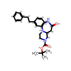 CC(C)(C)OC(=O)N1CCN2c3cc(CCc4ccccc4)ccc3NC(=O)CC2C1